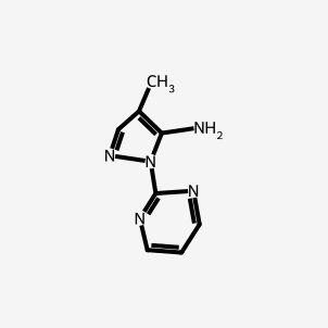 Cc1cnn(-c2ncccn2)c1N